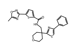 Cc1nc(-c2ccc(C(=O)NCC3(c4nc(-c5ccccc5)cs4)CCOCC3)s2)no1